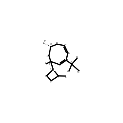 CC1CCB1C1(C)/C=C(C(C)(C)C)\C=C/C[C@@H](C)C1